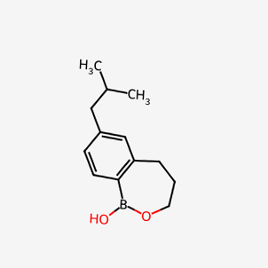 CC(C)Cc1ccc2c(c1)CCCOB2O